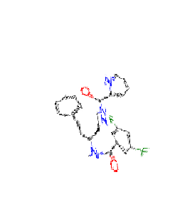 CN(C(=O)c1cc(F)cc(F)c1)[C@H](CCNC(=O)c1ccccn1)Cc1ccccc1